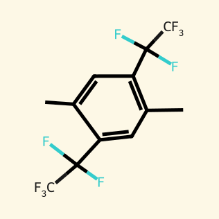 Cc1cc(C(F)(F)C(F)(F)F)c(C)cc1C(F)(F)C(F)(F)F